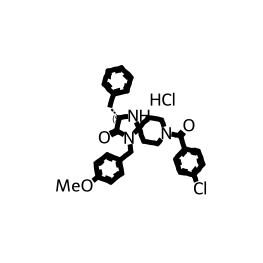 COc1ccc(CN2C(=O)[C@H](Cc3ccccc3)NC23CCN(C(=O)c2ccc(Cl)cc2)CC3)cc1.Cl